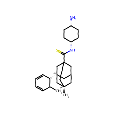 CC1C=CC=CC1[C@]12CC3CC(C(=S)N[C@H]4CC[C@@H](N)CC4)(C[C@](C)(C3)C1)C2